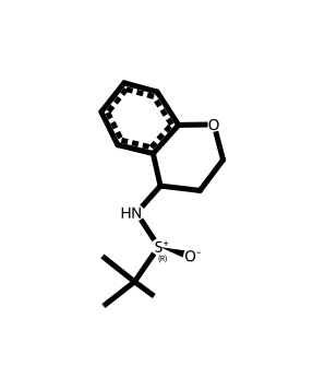 CC(C)(C)[S@+]([O-])NC1CCOc2ccccc21